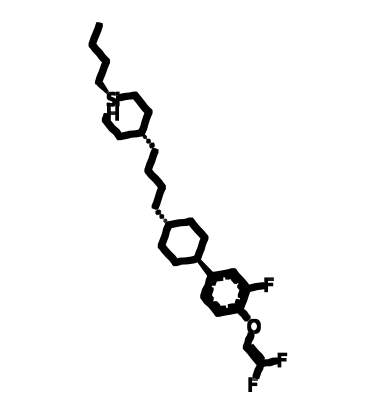 CCCC[Si@H]1CC[C@H](CCCC[C@H]2CC[C@H](c3ccc(OC=C(F)F)c(F)c3)CC2)CC1